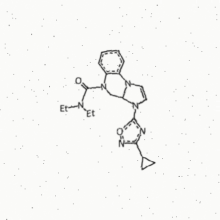 CCN(CC)C(=O)N1CC2N(c3nc(C4CC4)no3)C=CN2c2ccccc21